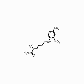 NC(=O)C(N)CCCCNc1ccc([N+](=O)[O-])cc1[N+](=O)[O-]